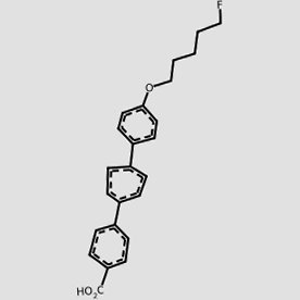 O=C(O)c1ccc(-c2ccc(-c3ccc(OCCCCCF)cc3)cc2)cc1